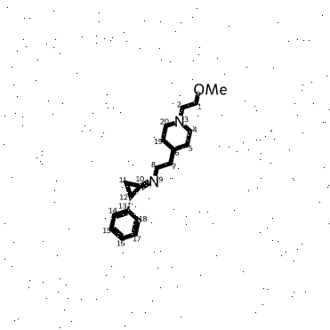 COCCN1CCC(CC/N=C2\C[C@H]2c2ccccc2)CC1